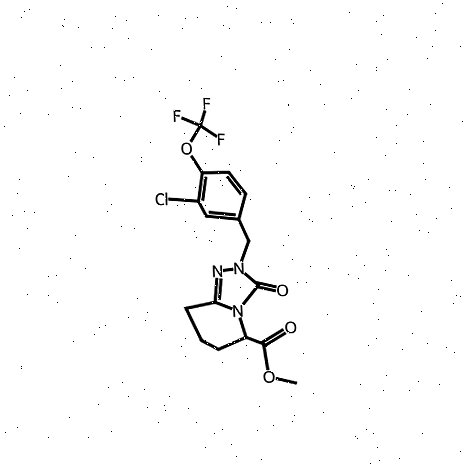 COC(=O)C1CCCc2nn(Cc3ccc(OC(F)(F)F)c(Cl)c3)c(=O)n21